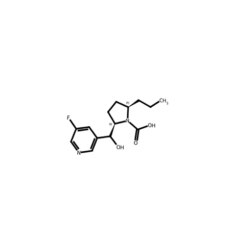 CCC[C@@H]1CC[C@H](C(O)c2cncc(F)c2)N1C(=O)O